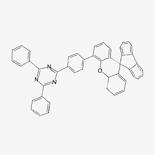 C1=CCC2Oc3c(-c4ccc(-c5nc(-c6ccccc6)nc(-c6ccccc6)n5)cc4)cccc3C3(C2=C1)c1ccccc1-c1ccccc13